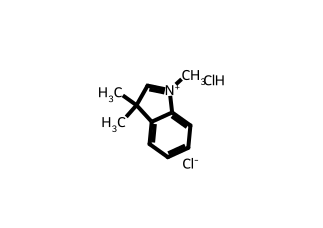 C[N+]1=CC(C)(C)c2ccccc21.Cl.[Cl-]